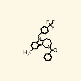 Cc1ccc2c(c1)c1c(n2Cc2ccc(C(F)(F)F)cc2)CCCN(C(=O)c2ccccc2)C1